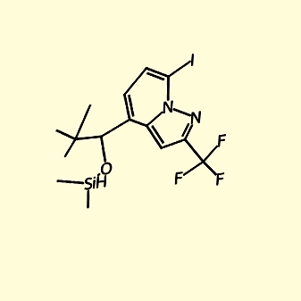 C[SiH](C)OC(c1ccc(I)n2nc(C(F)(F)F)cc12)C(C)(C)C